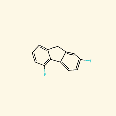 Fc1ccc2c(c1)Cc1cccc(F)c1-2